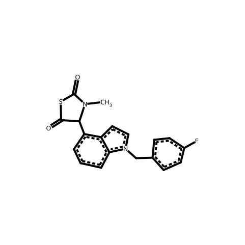 CN1C(=O)SC(=O)C1c1cccc2c1ccn2Cc1ccc(F)cc1